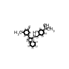 Cc1cc(F)cc(-c2nc3ccccn3c2NCc2ccc(N(C)C)cc2)c1